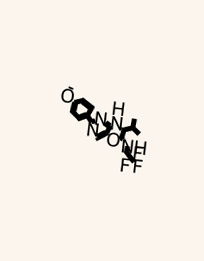 COc1ccc(-c2nccc(N[C@@H](C(=O)NCC(F)(F)F)C(C)C)n2)cc1